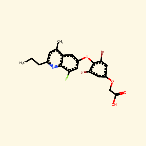 CCCc1cc(C)c2cc(Oc3c(Br)cc(OCC(=O)O)cc3Br)cc(F)c2n1